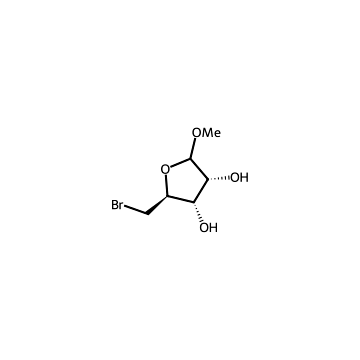 COC1O[C@H](CBr)[C@@H](O)[C@H]1O